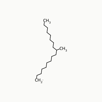 [CH2]CCCCCCCCC(C)CCCCCCCC